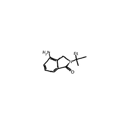 CCC(C)(C)N1Cc2c(N)cccc2C1=O